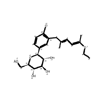 CCO/C(C)=C/C=C(\C)Cc1cc([C@@H]2O[C@H](CO)[C@@H](O)[C@H](O)[C@H]2O)ccc1Cl